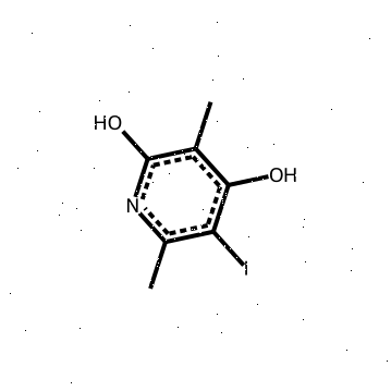 Cc1nc(O)c(C)c(O)c1I